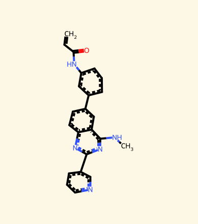 C=CC(=O)Nc1cccc(-c2ccc3nc(-c4cccnc4)nc(NC)c3c2)c1